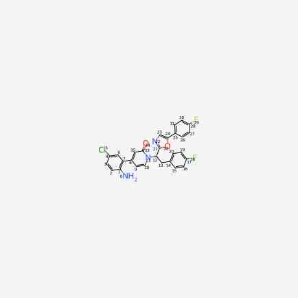 Nc1ccc(Cl)cc1-c1ccn(C(Cc2ccc(F)cc2)c2ncc(-c3ccc(F)cc3)o2)c(=O)c1